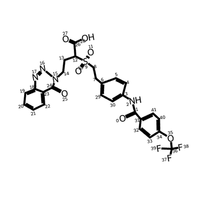 O=C(Nc1ccc(CCS(=O)(=O)C(CCn2nnc3ccccc3c2=O)C(=O)O)cc1)c1ccc(OC(F)(F)F)cc1